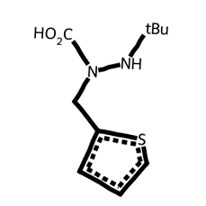 CC(C)(C)NN(Cc1cccs1)C(=O)O